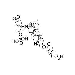 C=C(C)[C@@H]1CC[C@]2(NCC(C(C)OCP(=O)(O)O)N3CCS(=O)(=O)CC3)CC[C@]3(C)[C@H](CC[C@@H]4[C@@]5(C)CC[C@H](OC(=O)[C@H]6C[C@@H](C(=O)O)C6(C)C)C(C)(C)[C@@H]5CC[C@]43C)[C@@H]12